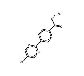 CCCCOC(=O)c1ccc(-c2ncc(CC)cn2)cc1